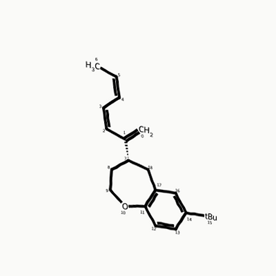 C=C(/C=C\C=C/C)[C@H]1CCOc2ccc(C(C)(C)C)cc2C1